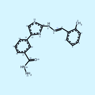 Cc1ccccc1/C=N/Nc1nc(-c2cccc(C(=O)NN)c2)cs1